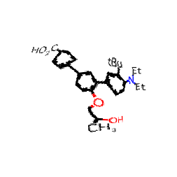 CCN(CC)c1ccc(-c2cc(-c3ccc(C(=O)O)cc3)ccc2OCC(C)O)cc1C(C)(C)C